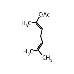 CC(=O)OC(C)=CCC=C(C)C